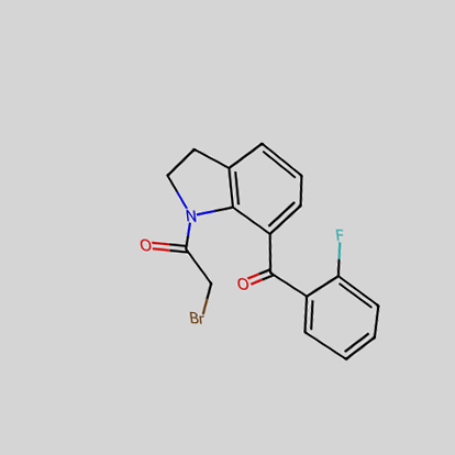 O=C(c1ccccc1F)c1cccc2c1N(C(=O)CBr)CC2